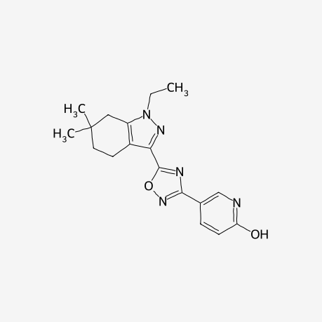 CCn1nc(-c2nc(-c3ccc(O)nc3)no2)c2c1CC(C)(C)CC2